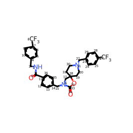 O=C(NCc1ccc(C(F)(F)F)cc1)c1ccc(CN2CC3(CCN(Cc4ccc(C(F)(F)F)cc4)CC3)OC2=O)cc1